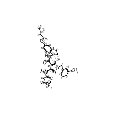 Cc1cccc(Cn2nc(NC(=O)CS(C)(=O)=O)c3c2C[C@]2(CCc4cc(OCCCC(F)(F)F)ccc42)NC3=O)c1